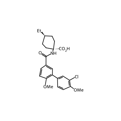 CC[C@H]1CC[C@](NC(=O)c2ccc(OC)c(-c3ccc(OC)c(Cl)c3)c2)(C(=O)O)CC1